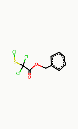 O=C(OCc1ccccc1)C(Cl)(Cl)SCl